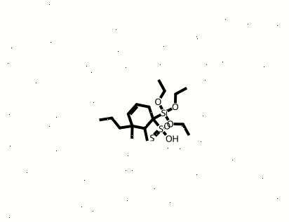 CCCC1(C)C=CCC([Si](OCC)(OCC)OCC)(S(=O)(O)=S)C1C